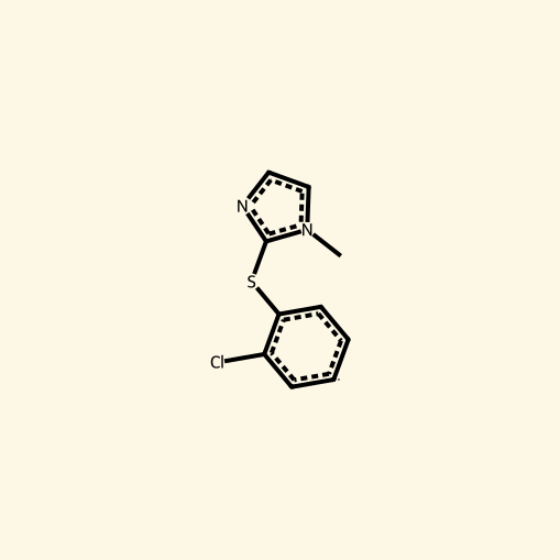 Cn1ccnc1Sc1cc[c]cc1Cl